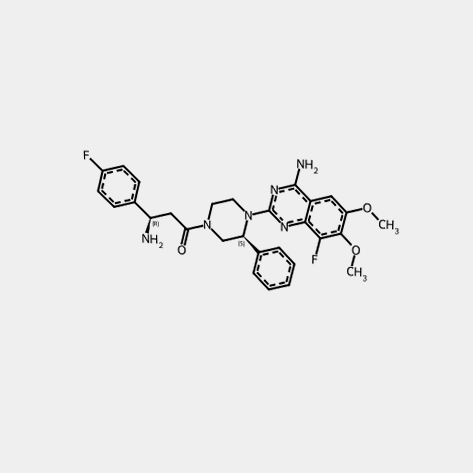 COc1cc2c(N)nc(N3CCN(C(=O)C[C@@H](N)c4ccc(F)cc4)C[C@@H]3c3ccccc3)nc2c(F)c1OC